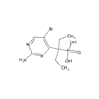 CCC(CC)(c1nc(N)ncc1Br)P(=O)(O)O